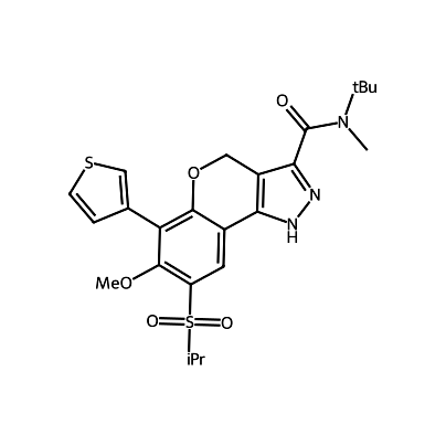 COc1c(S(=O)(=O)C(C)C)cc2c(c1-c1ccsc1)OCc1c(C(=O)N(C)C(C)(C)C)n[nH]c1-2